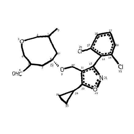 CC1COCC(C=O)C[C@@H](OCc2c(-c3c(Cl)cccc3Cl)noc2C2CC2)C1